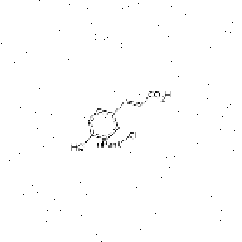 CCCCCCl.O=C(O)C=Cc1ccc(O)cc1